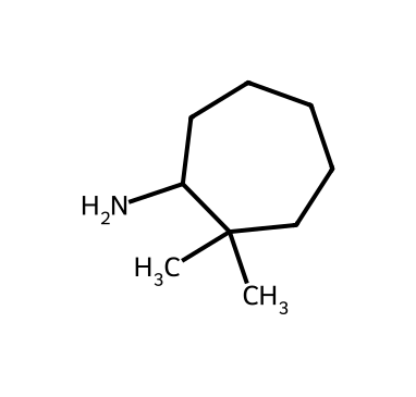 CC1(C)CCCCCC1N